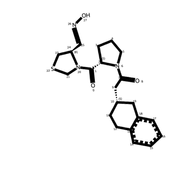 O=C([C@@H]1CCCN1C(=O)C[C@H]1CCc2ccccc2C1)N1CSC[C@H]1C=NO